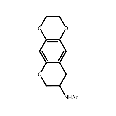 CC(=O)NC1COc2cc3c(cc2C1)OCCO3